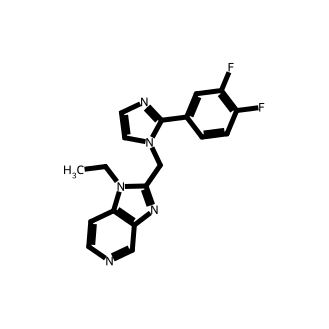 CCn1c(Cn2ccnc2-c2ccc(F)c(F)c2)nc2cnccc21